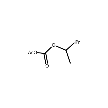 CC(=O)OC(=O)OC(C)C(C)C